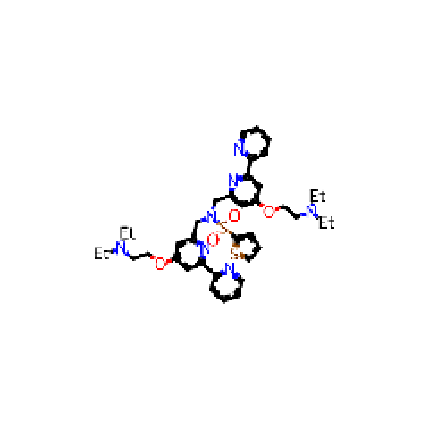 CCN(CC)CCOc1cc(CN(Cc2cc(OCCN(CC)CC)cc(-c3ccccn3)n2)S(=O)(=O)c2cccs2)nc(-c2ccccn2)c1